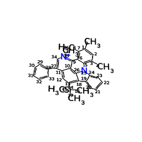 Cc1cc(C)c2c(c1C)c1c3c(cc([Si](C)(C)C)c4c5ccccc5n2c43)c(-c2ccccc2)c[n+]1C